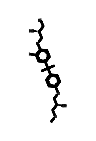 COC[C@@H](O)COc1ccc(C(C)(C)c2ccc(OC[C@H](O)CCl)c(I)c2)cc1